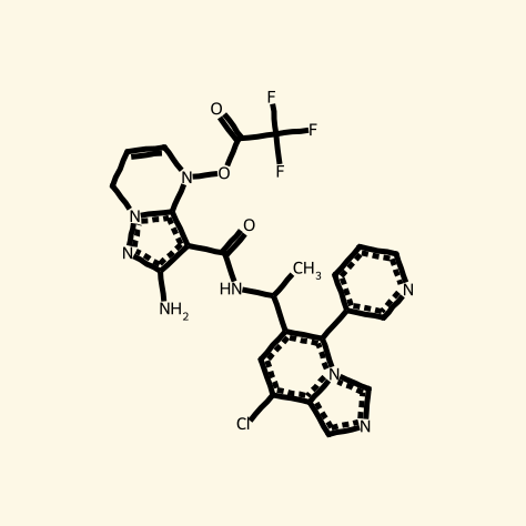 CC(NC(=O)c1c(N)nn2c1N(OC(=O)C(F)(F)F)C=CC2)c1cc(Cl)c2cncn2c1-c1cccnc1